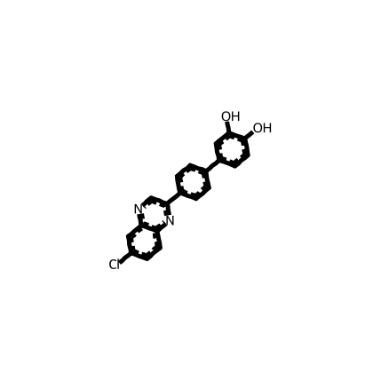 Oc1ccc(-c2ccc(-c3cnc4cc(Cl)ccc4n3)cc2)cc1O